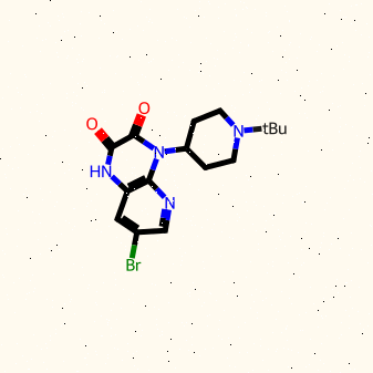 CC(C)(C)N1CCC(n2c(=O)c(=O)[nH]c3cc(Br)cnc32)CC1